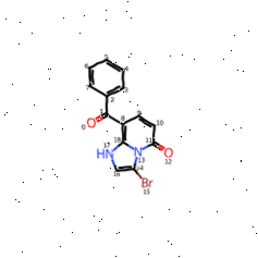 O=C(c1ccccc1)c1ccc(=O)n2c(Br)c[nH]c12